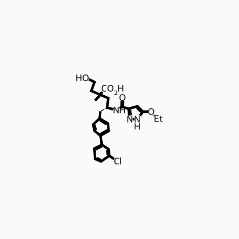 CCOc1cc(C(=O)N[C@H](Cc2ccc(-c3cccc(Cl)c3)cc2)CC(C)(CCO)C(=O)O)n[nH]1